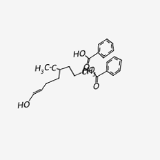 CCCC(CC)CCC=CO.O=C(O)c1ccccc1.O=C(O)c1ccccc1